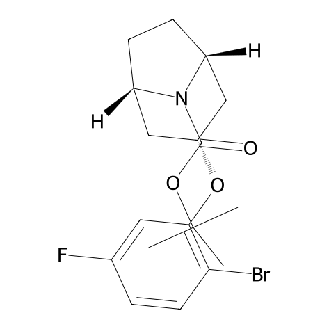 CC(C)(C)OC(=O)N1[C@@H]2CC[C@H]1C[C@@H](Oc1cc(F)ccc1Br)C2